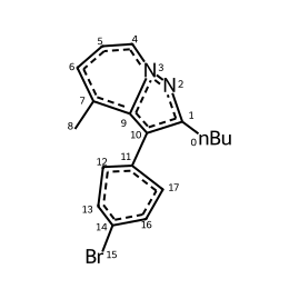 CCCCc1nn2cccc(C)c2c1-c1ccc(Br)cc1